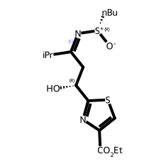 CCCC[S@+]([O-])/N=C(\C[C@@H](O)c1nc(C(=O)OCC)cs1)C(C)C